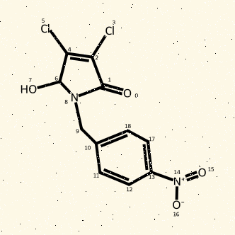 O=C1C(Cl)=C(Cl)C(O)N1Cc1ccc([N+](=O)[O-])cc1